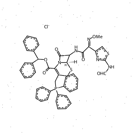 CON=C(C(=O)NC1C(=O)N2C(C(=O)OC(c3ccccc3)c3ccccc3)=C(C[P+](c3ccccc3)(c3ccccc3)c3ccccc3)CS[C@H]12)c1csc(NC=O)n1.[Cl-]